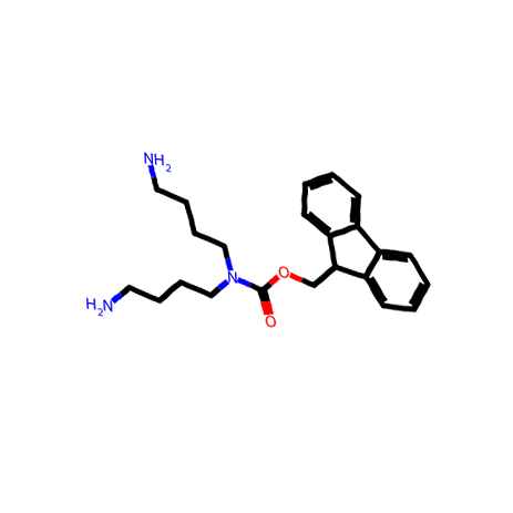 NCCCCN(CCCCN)C(=O)OCC1c2ccccc2-c2ccccc21